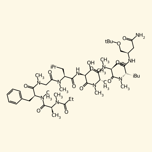 CCC(=O)N(C)[C@@H](C)C(=O)N(C)[C@@H](Cc1ccccc1)C(=O)N(C)CC(=O)N(C)[C@@H](CC(C)C)C(=O)N[C@H](C(=O)N(C)[C@@H](C)C(=O)N(C)[C@@H](CC(C)C)C(=O)N(C)[C@H](C(=O)N[C@@H](COC(C)(C)C)CC(N)=O)[C@@H](C)CC)[C@@H](C)O